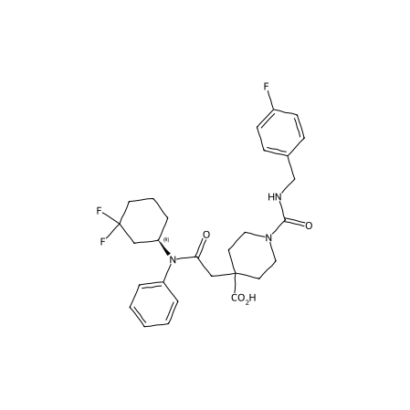 O=C(NCc1ccc(F)cc1)N1CCC(CC(=O)N(c2ccccc2)[C@@H]2CCCC(F)(F)C2)(C(=O)O)CC1